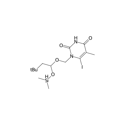 Cc1c(I)n(COC(CC(C)(C)C)O[SiH](C)C)c(=O)[nH]c1=O